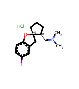 CN(C)C[C@H]1CCC[C@]12Cc1cc(I)ccc1O2.Cl